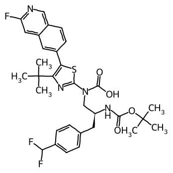 CC(C)(C)OC(=O)N[C@@H](Cc1ccc(C(F)F)cc1)CN(C(=O)O)c1nc(C(C)(C)C)c(-c2ccc3cnc(F)cc3c2)s1